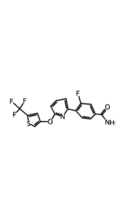 [NH]C(=O)c1ccc(-c2cccc(Oc3csc(C(F)(F)F)c3)n2)c(F)c1